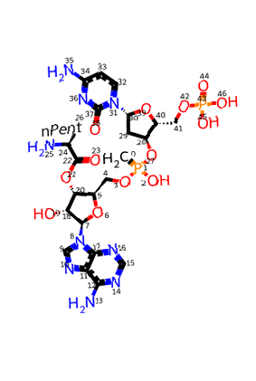 C=P(O)(OC[C@H]1O[C@@H](n2cnc3c(N)ncnc32)[C@H](O)[C@@H]1OC(=O)[C@@H](N)CCCCC)O[C@H]1C[C@H](n2ccc(N)nc2=O)O[C@@H]1COP(=O)(O)O